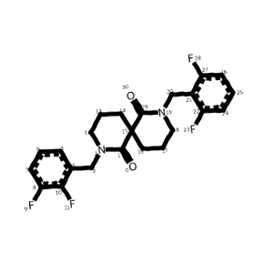 O=C1N(Cc2cccc(F)c2F)CCCC12CCCN(Cc1c(F)cccc1F)C2=O